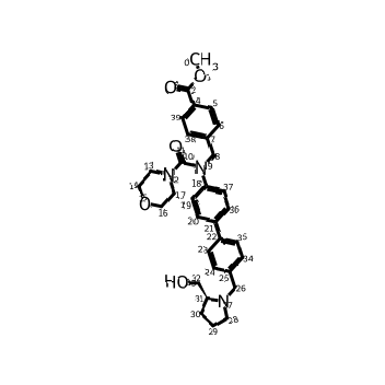 COC(=O)c1ccc(CN(C(=O)N2CCOCC2)c2ccc(-c3ccc(CN4CCC[C@H]4CO)cc3)cc2)cc1